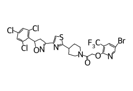 O=C(COc1ncc(Br)cc1C(F)(F)F)N1CCC(c2nc(C3=NOC(c4c(Cl)cc(Cl)cc4Cl)C3)cs2)CC1